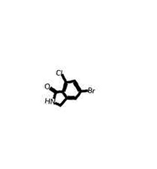 O=C1NCc2cc(Br)cc(Cl)c21